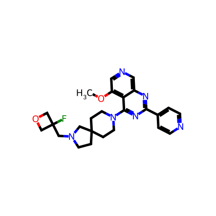 COc1cncc2nc(-c3ccncc3)nc(N3CCC4(CCN(CC5(F)COC5)C4)CC3)c12